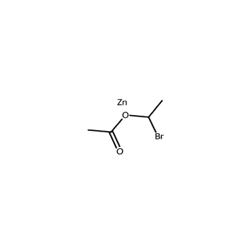 CC(=O)OC(C)Br.[Zn]